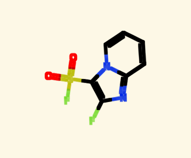 O=S(=O)(F)c1c(F)nc2ccccn12